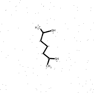 CC(S)CCCC(C)S